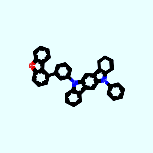 C1=Cc2c(c3cc4c(cc3n2-c2ccccc2)c2ccccc2n4-c2cccc(-c3cccc4oc5ccccc5c34)c2)CC1